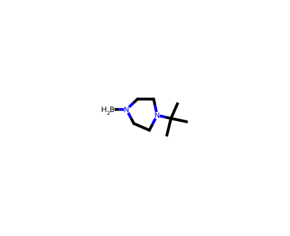 BN1CCN(C(C)(C)C)CC1